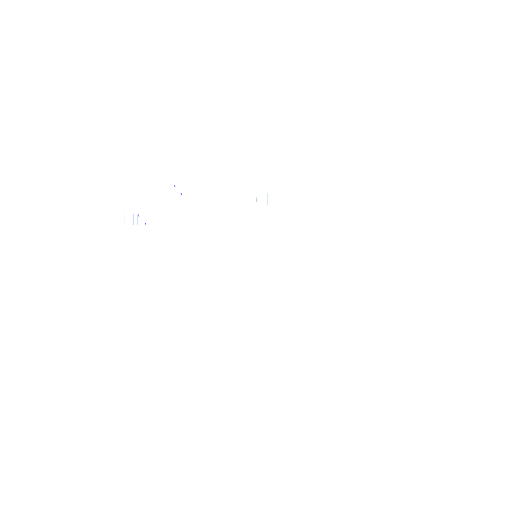 Clc1n[nH]cc1Cc1ccccc1